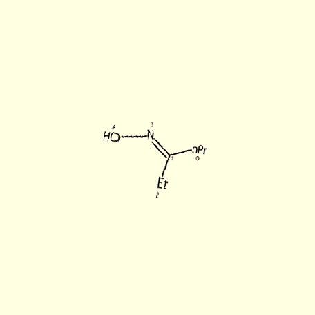 [CH2]CC/C(CC)=N/O